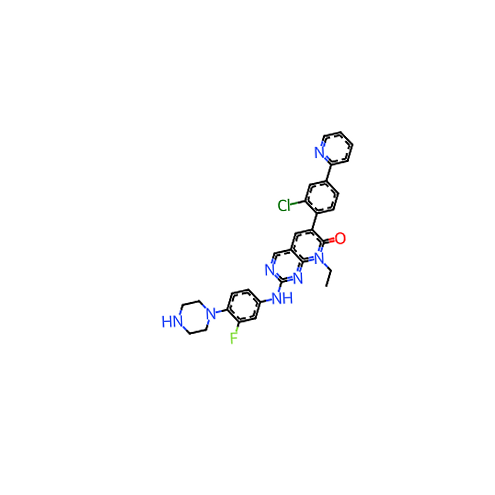 CCn1c(=O)c(-c2ccc(-c3ccccn3)cc2Cl)cc2cnc(Nc3ccc(N4CCNCC4)c(F)c3)nc21